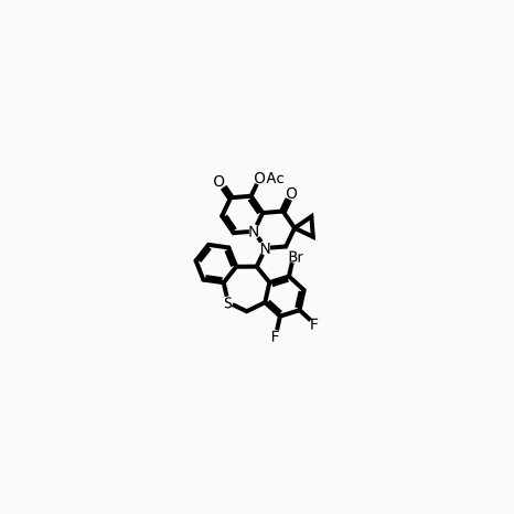 CC(=O)Oc1c2n(ccc1=O)N(C1c3ccccc3SCc3c(F)c(F)cc(Br)c31)CC1(CC1)C2=O